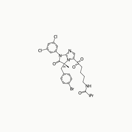 CC(C)C(=O)NCCCCS(=O)(=O)c1cnc2n1[C@](C)(Cc1ccc(Br)cc1)C(=O)N2c1cc(Cl)cc(Cl)c1